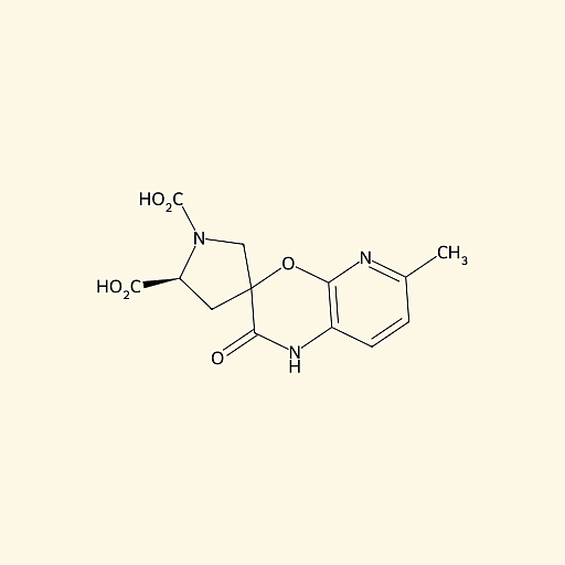 Cc1ccc2c(n1)OC1(C[C@@H](C(=O)O)N(C(=O)O)C1)C(=O)N2